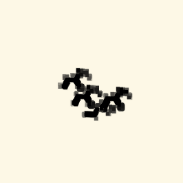 C=CC(=O)O.C=CC(N)=O.C=CC(N)=O.C=CC(N)=O